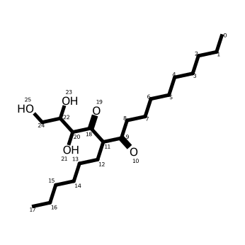 CCCCCCCCCC(=O)C(CCCCCC)C(=O)C(O)C(O)CO